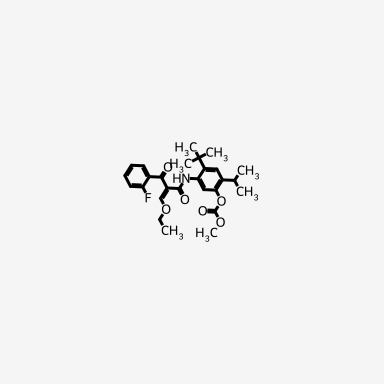 CCO/C=C(\C(=O)Nc1cc(OC(=O)OC)c(C(C)C)cc1C(C)(C)C)C(=O)c1ccccc1F